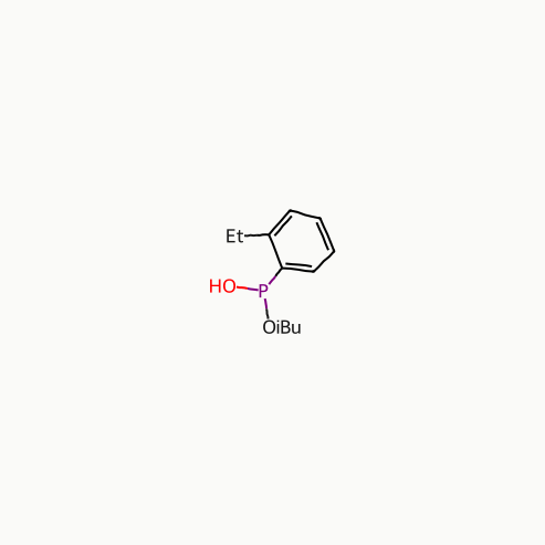 CCc1ccccc1P(O)OCC(C)C